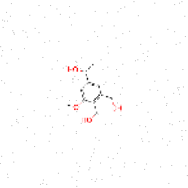 COc1cc(C(C)O)cc(CO)c1CO